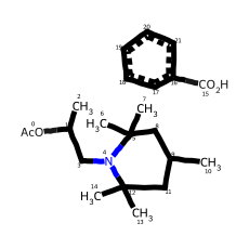 CC(=O)OC(C)CN1C(C)(C)CC(C)CC1(C)C.O=C(O)c1ccccc1